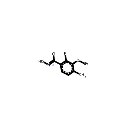 Cc1ccc(/C(Cl)=N/O)c(F)c1OC(C)C